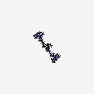 CCC1(CC)c2cc(/C=C/c3ccc(N4c5ccccc5Cc5ccccc54)cc3)ccc2-c2ccc(/C=C/c3ccc(N4c5ccccc5Cc5ccccc54)cc3)cc21